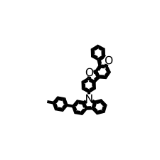 Cc1ccc(-c2ccc3c4ccccc4n(-c4ccc5oc6c(ccc7oc8ccccc8c76)c5c4)c3c2)cc1